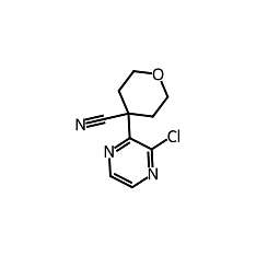 N#CC1(c2nccnc2Cl)CCOCC1